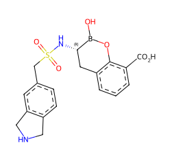 O=C(O)c1cccc2c1OB(O)[C@@H](NS(=O)(=O)Cc1ccc3c(c1)CNC3)C2